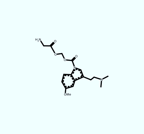 COc1ccc2c(c1)c(CCN(C)C)cn2C(=O)OCOC(=O)CN